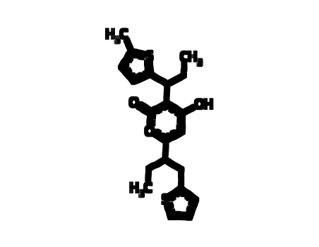 CCC(Cc1cccs1)c1cc(O)c(C(CC)c2ccc(C)s2)c(=O)o1